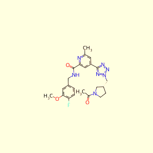 COc1cc(CNC(=O)c2cc(-c3nnn(C[C@@H]4CCN(C(C)=O)C4)n3)cc(C)n2)ccc1F